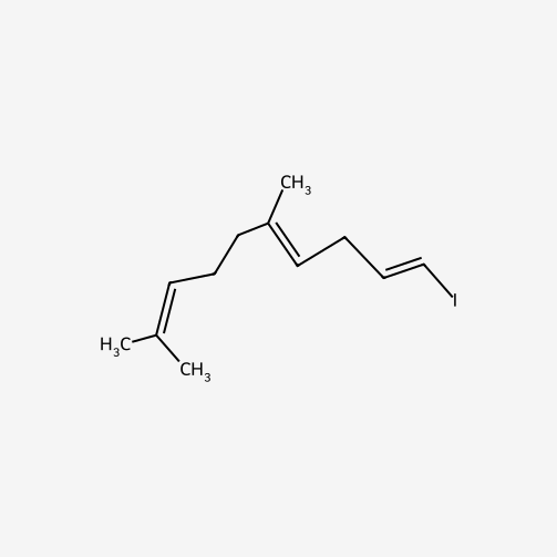 CC(C)=CCCC(C)=CCC=CI